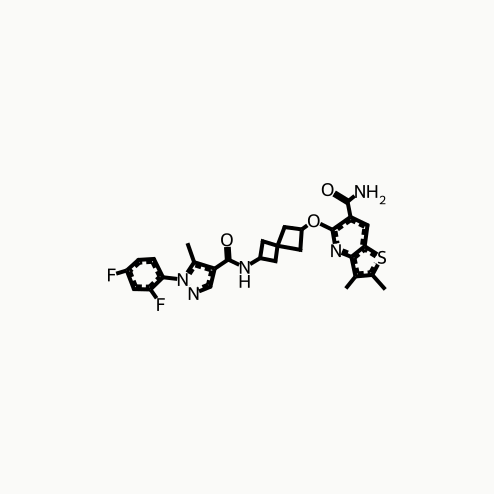 Cc1sc2cc(C(N)=O)c(OC3CC4(CC(NC(=O)c5cnn(-c6ccc(F)cc6F)c5C)C4)C3)nc2c1C